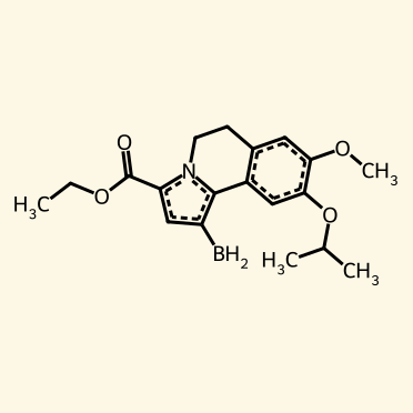 Bc1cc(C(=O)OCC)n2c1-c1cc(OC(C)C)c(OC)cc1CC2